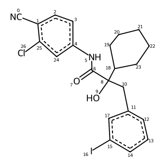 N#Cc1ccc(NC(=O)C(O)(Cc2cccc(I)c2)C2CCCCC2)cc1Cl